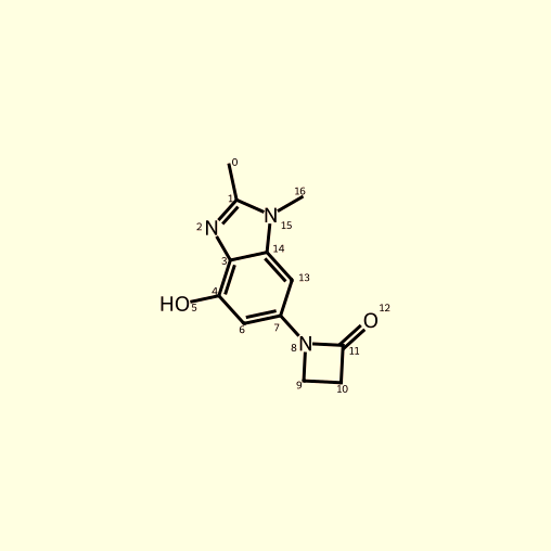 Cc1nc2c(O)cc(N3CCC3=O)cc2n1C